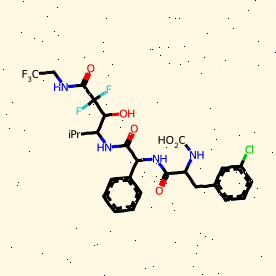 CC(C)C(NC(=O)C(NC(=O)C(Cc1cccc(Cl)c1)NC(=O)O)c1ccccc1)C(O)C(F)(F)C(=O)NCC(F)(F)F